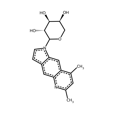 Cc1cc(C)c2cc3c(ccn3C3OC[C@H](O)[C@H](O)[C@H]3O)cc2n1